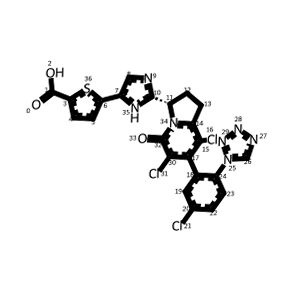 O=C(O)c1ccc(-c2cnc([C@@H]3CCc4c(Cl)c(-c5cc(Cl)ccc5-n5cnnn5)c(Cl)c(=O)n43)[nH]2)s1